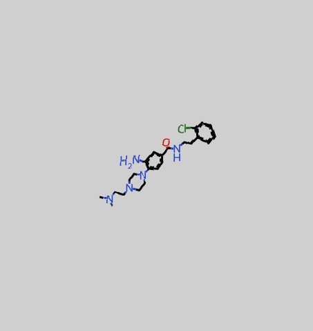 CN(C)CCN1CCN(c2ccc(C(=O)NCCc3ccccc3Cl)cc2N)CC1